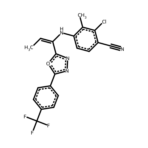 CC=C(Nc1ccc(C#N)c(Cl)c1C)c1nnc(-c2ccc(C(F)(F)F)cc2)o1